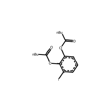 CCCCC(=O)Oc1cccc(I)c1OC(=O)CCCC